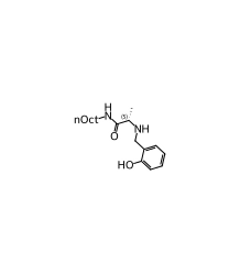 CCCCCCCCNC(=O)[C@H](C)NCc1ccccc1O